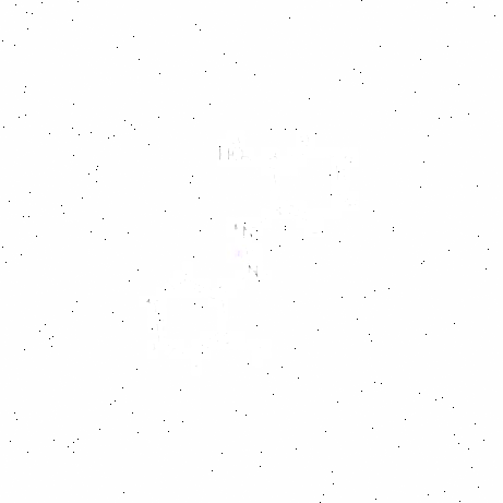 Cc1ccccc1/N=N/c1ccccc1O